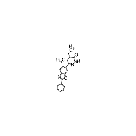 CC[C@H]1C(=O)NN=C(c2ccc3nc(-c4ccccc4)oc3c2)[C@@H]1C